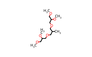 COCC(COCC(C)COCC(COC)OC)OC